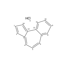 Cl.c1cc2cccc3ccccc3c-2c1